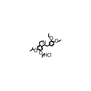 CCOc1ccc(CC2=NCCc3cc(OC(C)C)c(OC(C)C)cc32)cc1OCC.Cl